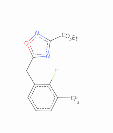 CCOC(=O)c1noc(Cc2cccc(C(F)(F)F)c2F)n1